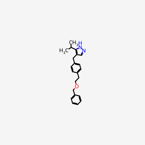 CC(C)c1[nH]ncc1Cc1ccc(CCOCc2ccccc2)cc1